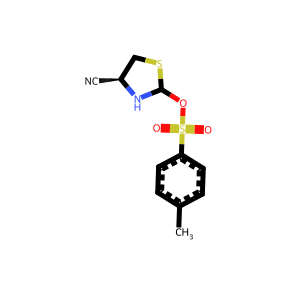 Cc1ccc(S(=O)(=O)OC2N[C@@H](C#N)CS2)cc1